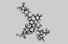 Cn1nc(NS(C)(=O)=O)c2cccc(-c3cc4sc(N5CCC6(CC5)CNC(=O)O6)nc4nc3[C@H](Cc3cc(F)cc(F)c3)NC(=O)Cn3nc(C(F)(F)F)c4c3C(F)(F)[C@@H]3CC43)c21